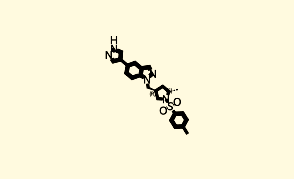 Cc1ccc(S(=O)(=O)N2C[C@@H](Cn3ncc4cc(-c5cn[nH]c5)ccc43)C[C@@H]2C)cc1